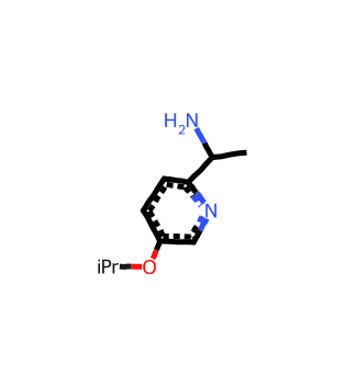 CC(C)Oc1ccc(C(C)N)nc1